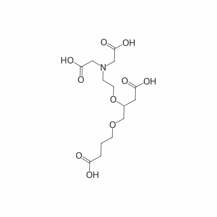 O=C(O)CCCOCC(CC(=O)O)OCCN(CC(=O)O)CC(=O)O